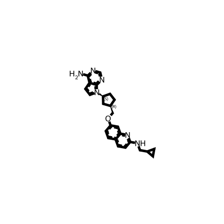 Nc1ncnc2c1ccn2[C@H]1CC[C@@H](COc2ccc3ccc(NCC4CC4)nc3c2)C1